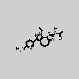 CCn1nc(-c2ccc(N)nc2)c2c1-c1sc(NC(C)=O)nc1CCC2